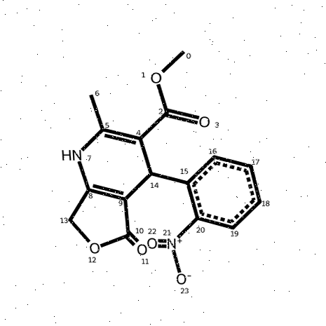 COC(=O)C1=C(C)NC2=C(C(=O)OC2)C1c1ccccc1[N+](=O)[O-]